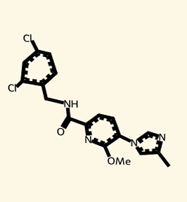 COc1nc(C(=O)NCc2ccc(Cl)cc2Cl)ccc1-n1cnc(C)c1